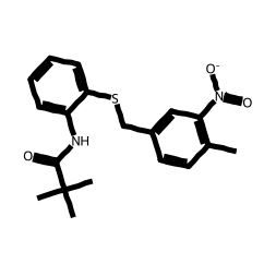 Cc1ccc(CSc2ccccc2NC(=O)C(C)(C)C)cc1[N+](=O)[O-]